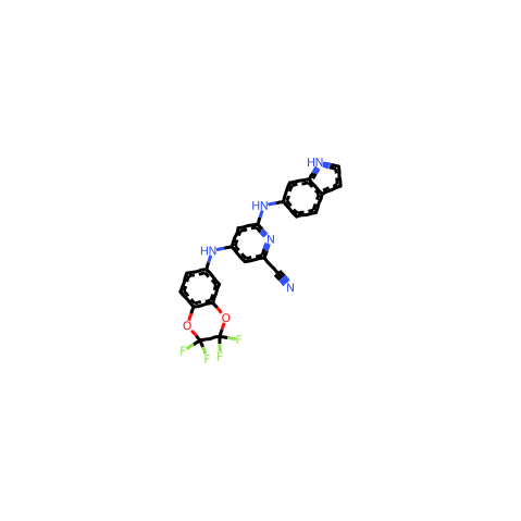 N#Cc1cc(Nc2ccc3c(c2)OC(F)(F)C(F)(F)O3)cc(Nc2ccc3cc[nH]c3c2)n1